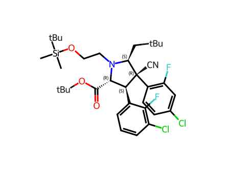 CC(C)(C)C[C@@H]1N(CCO[Si](C)(C)C(C)(C)C)[C@@H](C(=O)OC(C)(C)C)[C@H](c2cccc(Cl)c2F)[C@@]1(C#N)c1ccc(Cl)cc1F